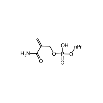 C=C(COP(=O)(O)OCCC)C(N)=O